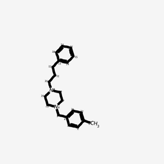 Cc1ccc(CN2CCN(CCCc3ccccc3)CC2)cc1